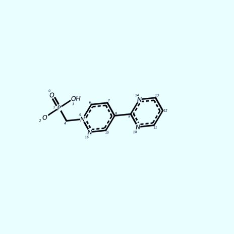 O=P([O-])(O)C[n+]1ccc(-c2ncccn2)cn1